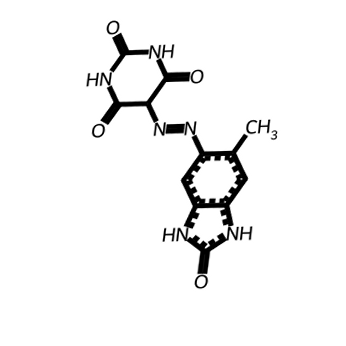 Cc1cc2[nH]c(=O)[nH]c2cc1/N=N/C1C(=O)NC(=O)NC1=O